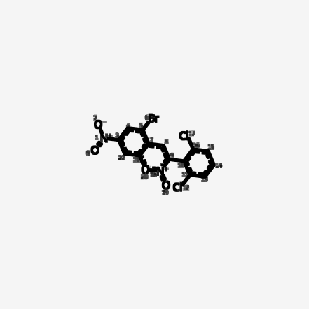 O=[N+]([O-])c1cc(Br)c2cc(-c3c(Cl)cccc3Cl)[n+](=O)oc2c1